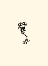 CC(=O)N(CCCO)CCCC#Cc1ccc2c(c1)N(C)C(=O)C(NC(=O)c1cc(Oc3ccc(F)cc3)ccn1)CO2